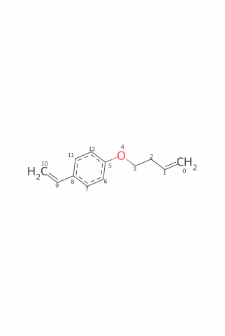 C=CCCOc1ccc(C=C)cc1